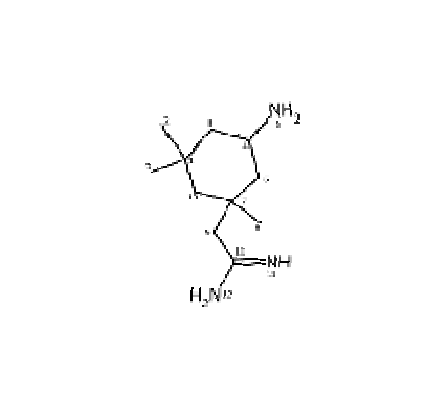 CC1(C)CC(N)CC(C)(CC(=N)N)C1